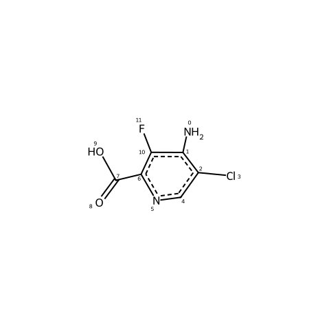 Nc1c(Cl)cnc(C(=O)O)c1F